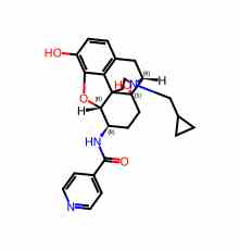 O=C(N[C@@H]1CC[C@@]2(O)[C@H]3Cc4ccc(O)c5c4C2(CCN3CC2CC2)[C@H]1O5)c1ccncc1